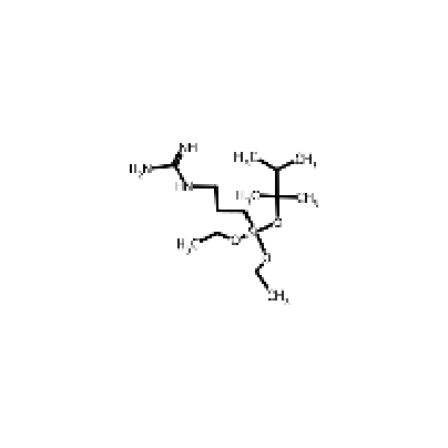 CCO[Si](CCCNC(=N)N)(OCC)OC(C)(C)C(C)C